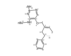 C/C=C(/COc1cnc(N)nc1NCCCC)C[C@H](C)c1ccccc1